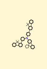 CC1(C)c2ccccc2-c2ccc(-c3ccc(N(c4cccc(-c5cccc6c5C(C)(C)c5ccccc5-6)c4)c4ccc5c(c4)C4(CCCC4)c4ccccc4-5)cc3)cc21